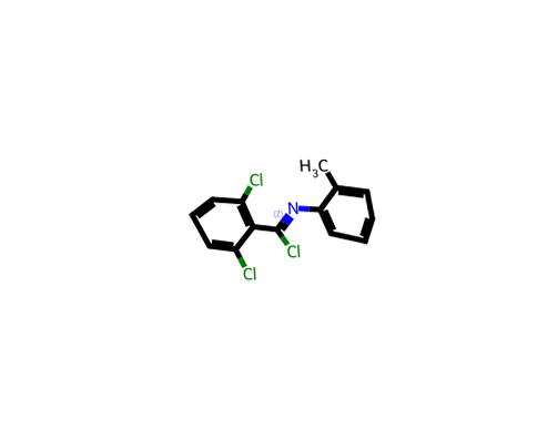 Cc1ccccc1/N=C(\Cl)c1c(Cl)cccc1Cl